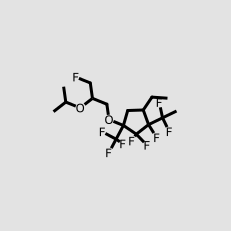 CCC1CC(OCC(CF)OC(C)C)(C(F)(F)F)C(F)(F)C1(F)C(C)(F)F